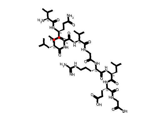 CC(C)C[C@H](NC(=O)[C@H](CCCNC(=N)N)NC(=O)CNC(=O)[C@@H](NC(=O)[C@H](CC(C)C)NC(=O)[C@H](CC(C)C)NC(=O)[C@H](CCC(N)=O)NC(=O)[C@@H](N)C(C)C)C(C)C)C(=O)N[C@@H](CCC(=O)O)C(=O)NCC(=O)N[C@@H](C)C(=O)O